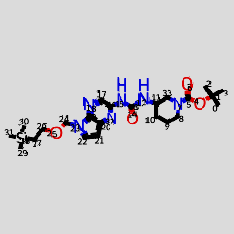 CC(C)(C)OC(=O)N1CCCC(NC(=O)Nc2cnc3c(ccn3COCC[Si](C)(C)C)n2)C1